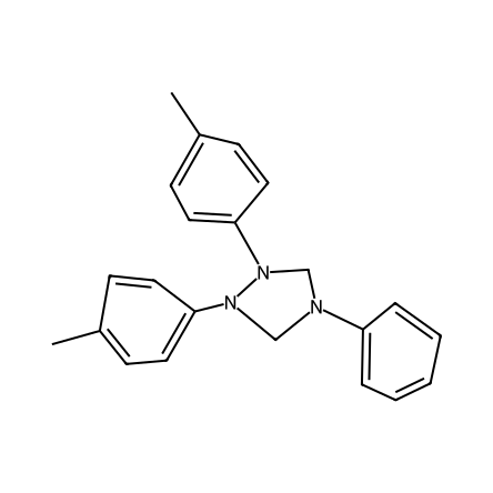 Cc1ccc(N2CN(c3ccccc3)CN2c2ccc(C)cc2)cc1